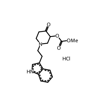 COC(=O)OC1CN(CCc2c[nH]c3ccccc23)CCC1=O.Cl